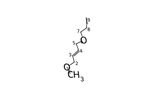 COCC=CCOCCI